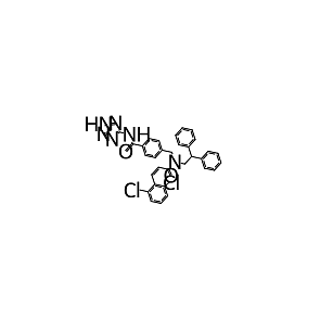 O=C(Nc1nn[nH]n1)c1ccc(CN(CC(c2ccccc2)c2ccccc2)C(=O)C=Cc2c(Cl)cccc2Cl)cc1